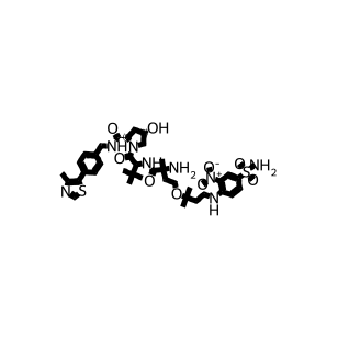 Cc1ncsc1-c1ccc(CNC(=O)[C@@H]2C[C@@H](O)CN2C(=O)C(NC(=O)C(C)(N)CCOC(C)(C)CCNc2ccc(S(N)(=O)=O)cc2[N+](=O)[O-])C(C)(C)C)cc1